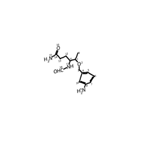 CC(OCc1cccc(N)c1)C(CCC(N)=O)NC=O